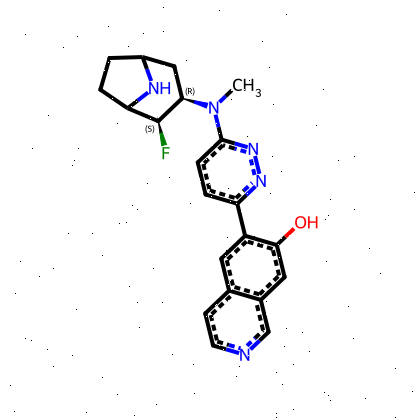 CN(c1ccc(-c2cc3ccncc3cc2O)nn1)[C@@H]1CC2CCC(N2)[C@@H]1F